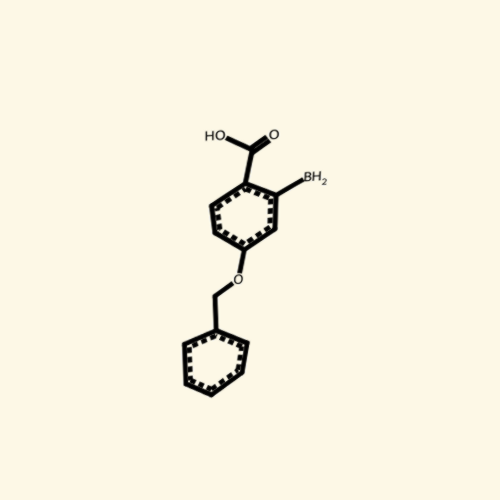 Bc1cc(OCc2ccccc2)ccc1C(=O)O